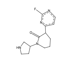 O=C1C(c2ccnc(F)n2)CCCN1C1CCNC1